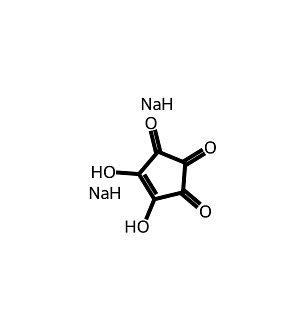 O=c1c(O)c(O)c(=O)c1=O.[NaH].[NaH]